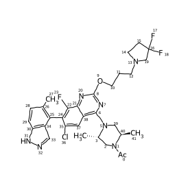 CC(=O)N1C[C@H](C)N(c2nc(OCCCN3CCC(F)(F)C3)nc3c(F)c(-c4c(C)ccc5[nH]ncc45)c(Cl)cc23)C[C@H]1C